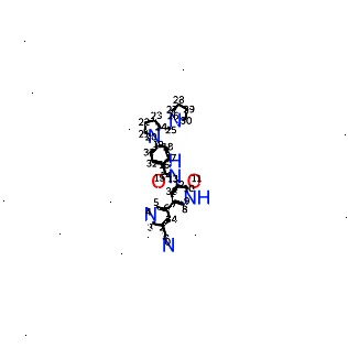 N#Cc1cncc(-c2c[nH]c(=O)c(NC(=O)c3ccc(N4CCC[C@H]4CN4CCCC4)cc3)c2)c1